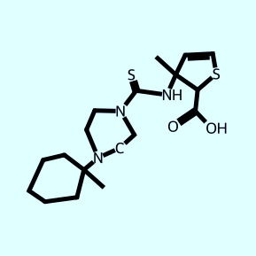 CC1(NC(=S)N2CCN(C3(C)CCCCC3)CC2)C=CSC1C(=O)O